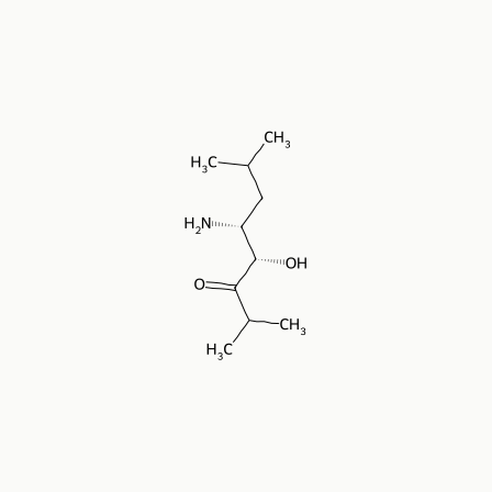 CC(C)C[C@@H](N)[C@H](O)C(=O)C(C)C